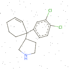 Clc1ccc(C2(C3CCNC3)C=CCCC2)cc1Cl